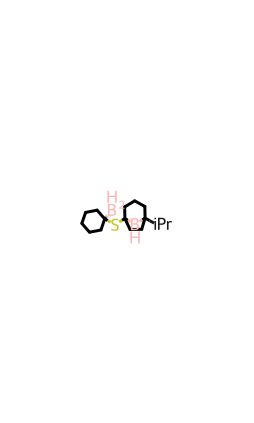 BC1(SC23BC(C(C)C)(CCC2)CC3)CCCCC1